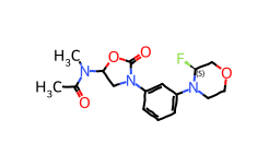 CC(=O)N(C)C1CN(c2cccc(N3CCOC[C@@H]3F)c2)C(=O)O1